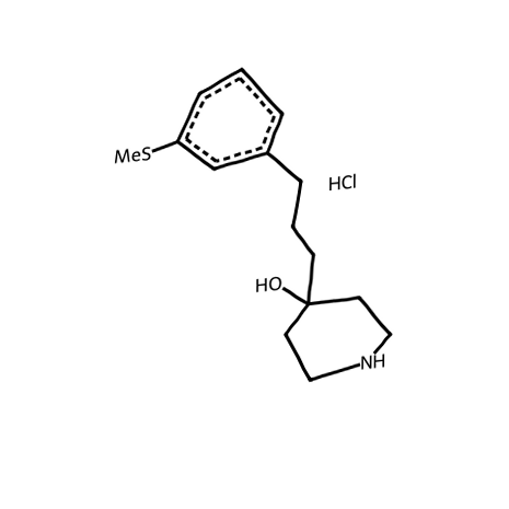 CSc1cccc(CCCC2(O)CCNCC2)c1.Cl